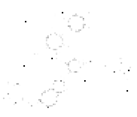 COc1cnc(-c2cc(Cl)c(F)cc2F)nc1Nc1cn(COCC[Si](C)(C)C)nc1-c1nc2cc(CN3CCOCC3)ccc2[nH]1